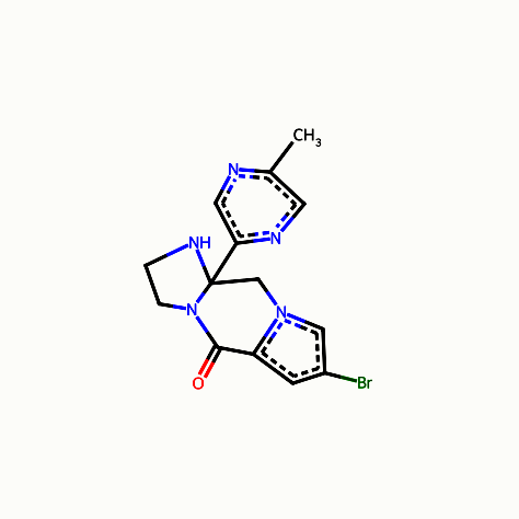 Cc1cnc(C23Cn4cc(Br)cc4C(=O)N2CCN3)cn1